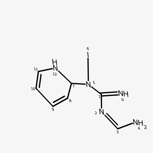 N=C(/N=C\N)N(I)C1C=CC=CN1